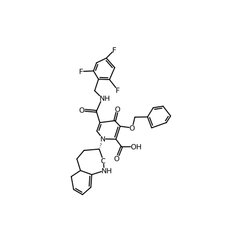 O=C(NCc1c(F)cc(F)cc1F)c1cn([C@H]2CCC3CC=CC=C3NC2)c(C(=O)O)c(OCc2ccccc2)c1=O